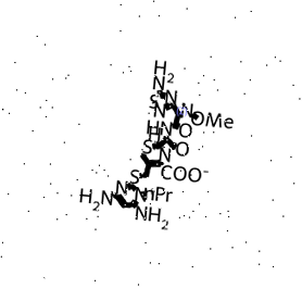 CCC[n+]1c(N)cc(N)nc1SCC1=C(C(=O)[O-])N2C(=O)C(NC(=O)/C(=N\OC)c3nsc(N)n3)[C@H]2SC1